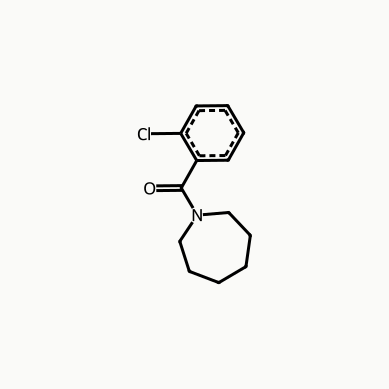 O=C(c1ccccc1Cl)N1CCCCCC1